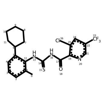 Cc1cccc(C2CCCCC2)c1NC(=S)NC(=O)c1ncc(C(F)(F)F)cc1Cl